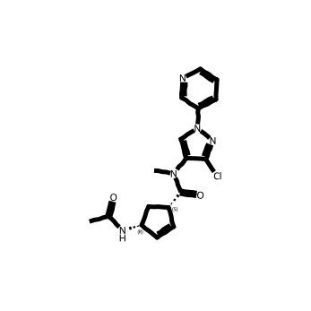 CC(=O)N[C@H]1C=C[C@@H](C(=O)N(C)c2cn(-c3cccnc3)nc2Cl)C1